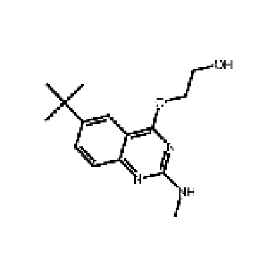 CNc1nc(OCCO)c2cc(C(C)(C)C)ccc2n1